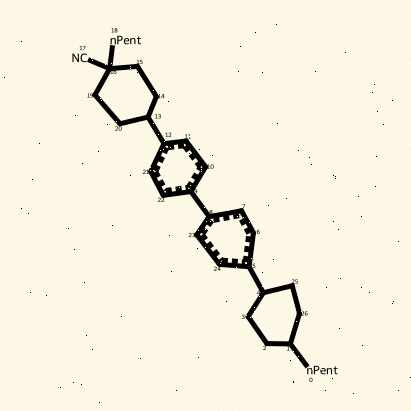 CCCCCC1CCC(c2ccc(-c3ccc(C4CCC(C#N)(CCCCC)CC4)cc3)cc2)CC1